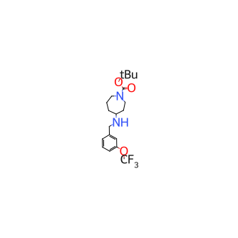 CC(C)(C)OC(=O)N1CCCC(NCc2cccc(OC(F)(F)F)c2)CC1